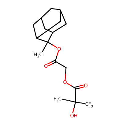 CC1(OC(=O)COC(=O)C(O)(C(F)(F)F)C(F)(F)F)C2CC3CC(C2)CC1C3